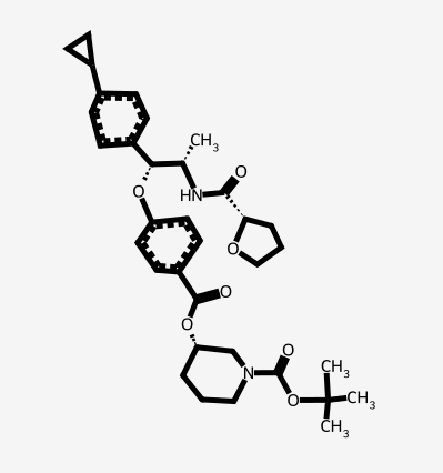 C[C@H](NC(=O)[C@@H]1CCCO1)[C@H](Oc1ccc(C(=O)O[C@H]2CCCN(C(=O)OC(C)(C)C)C2)cc1)c1ccc(C2CC2)cc1